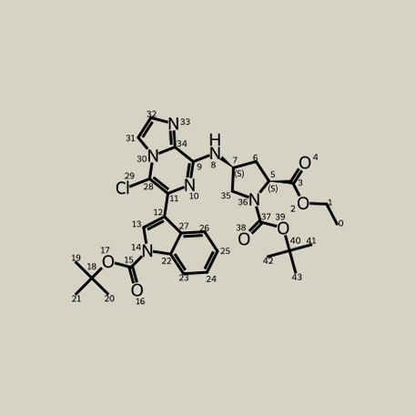 CCOC(=O)[C@@H]1C[C@H](Nc2nc(-c3cn(C(=O)OC(C)(C)C)c4ccccc34)c(Cl)n3ccnc23)CN1C(=O)OC(C)(C)C